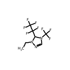 CCN1N=CN(C(F)(F)F)C1C(F)(F)C(F)(F)F